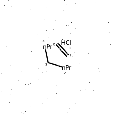 C=C.CCCCCCC.Cl